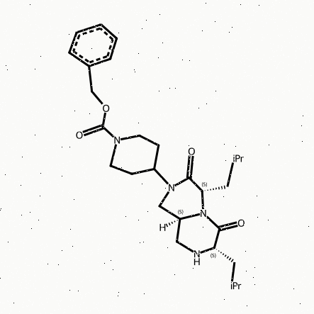 CC(C)C[C@@H]1NC[C@H]2CN(C3CCN(C(=O)OCc4ccccc4)CC3)C(=O)[C@H](CC(C)C)N2C1=O